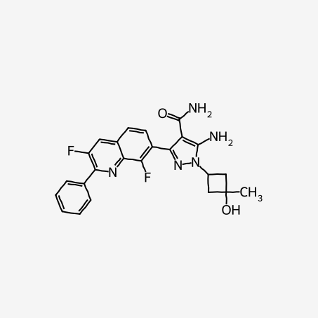 CC1(O)CC(n2nc(-c3ccc4cc(F)c(-c5ccccc5)nc4c3F)c(C(N)=O)c2N)C1